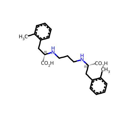 Cc1ccccc1C[C@H](NCCCN[C@@H](Cc1ccccc1C)C(=O)O)C(=O)O